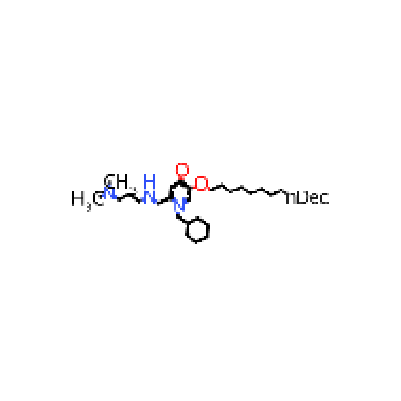 CCCCCCCCCCCCCCCCCCOc1cn(CC2CCCCC2)c(CNCCCN(C)C)cc1=O